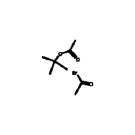 CC(=O)Br.CC(=O)OC(C)(C)C